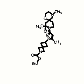 Cc1cc(N2CCC3(CN(C)CCO3)CC2(C)C)nn1C1CC2(C1)CN(C(=O)OC(C)(C)C)C2